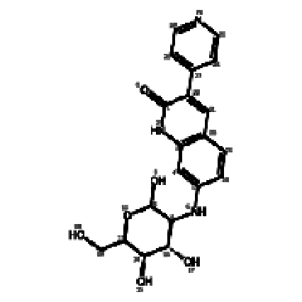 O=c1[nH]c2cc(NC3C(O)OC(CO)[C@H](O)[C@H]3O)ccc2cc1-c1ccncc1